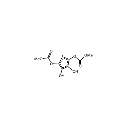 COC(=O)Oc1sc(OC(=O)OC)c(O)c1O